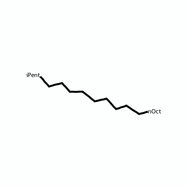 CCCCCCCCCCCCCCCCC[C](C)CCC